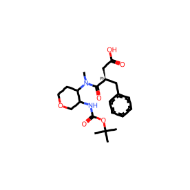 CN(C(=O)[C@@H](CC(=O)O)Cc1ccccc1)C1CCOCC1NC(=O)OC(C)(C)C